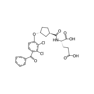 O=C(O)CC[C@H](NC(=O)[C@@H]1CC[C@@H](Oc2ccc(C(=O)c3ccccc3)c(Cl)c2Cl)C1)C(=O)O